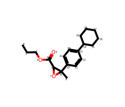 CCCOC(=O)C1OC1(C)c1ccc(C2CCCCC2)cc1